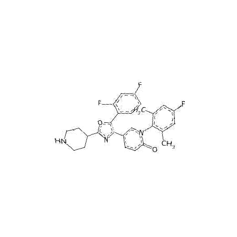 Cc1cc(F)cc(C)c1-n1cc(-c2nc(C3CCNCC3)oc2-c2ccc(F)cc2F)ccc1=O